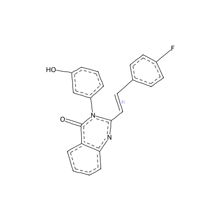 O=c1c2ccccc2nc(/C=C/c2ccc(F)cc2)n1-c1cccc(O)c1